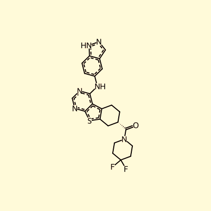 O=C([C@H]1CCc2c(sc3ncnc(Nc4ccc5[nH]ncc5c4)c23)C1)N1CCC(F)(F)CC1